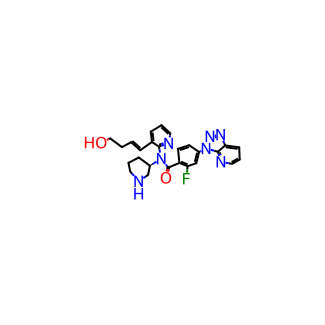 O=C(c1ccc(-n2nnc3cccnc32)cc1F)N(c1ncccc1C=CCCO)[C@@H]1CCCNC1